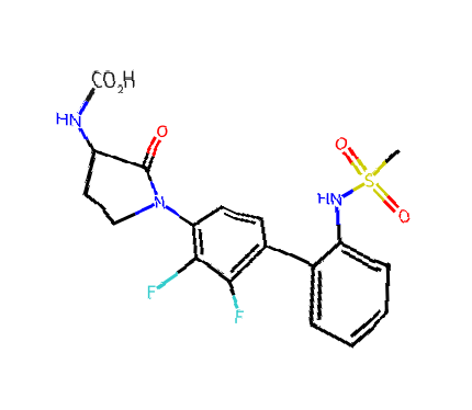 CS(=O)(=O)Nc1ccccc1-c1ccc(N2CCC(NC(=O)O)C2=O)c(F)c1F